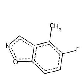 Cc1c(F)ccc2oncc12